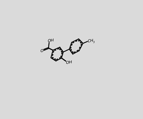 Cc1ccc(-c2cc(C(=O)O)ccc2O)cc1